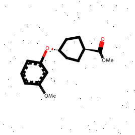 COc1cccc(O[C@H]2CC[C@H](C(=O)OC)CC2)c1